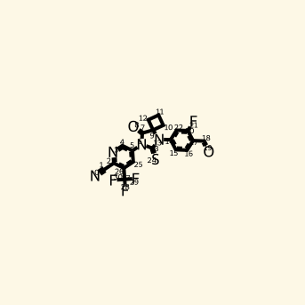 N#Cc1ncc(N2C(=O)C3(CCC3)N(c3ccc(C=O)c(F)c3)C2=S)cc1C(F)(F)F